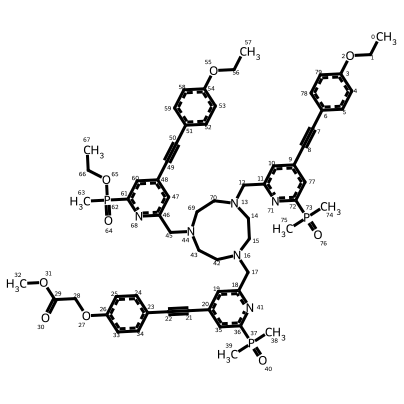 CCOc1ccc(C#Cc2cc(CN3CCN(Cc4cc(C#Cc5ccc(OCC(=O)OC)cc5)cc(P(C)(C)=O)n4)CCN(Cc4cc(C#Cc5ccc(OCC)cc5)cc(P(C)(=O)OCC)n4)CC3)nc(P(C)(C)=O)c2)cc1